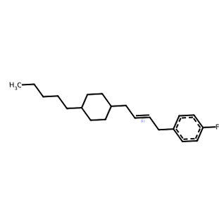 CCCCCC1CCC(C/C=C/Cc2ccc(F)cc2)CC1